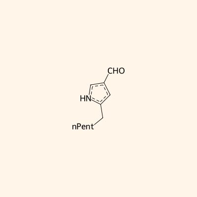 CCCCCCc1cc(C=O)c[nH]1